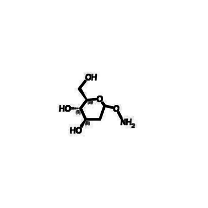 NOC1C[C@@H](O)[C@H](O)[C@@H](CO)O1